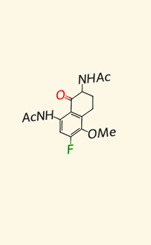 COc1c(F)cc(NC(C)=O)c2c1CCC(NC(C)=O)C2=O